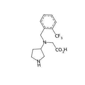 O=C(O)CN(Cc1ccccc1C(F)(F)F)C1CCNC1